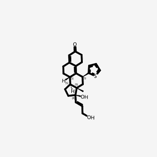 C[C@]12C[C@H](c3cccs3)C3=C4CCC(=O)C=C4CC[C@H]3[C@@H]1CC[C@@]2(O)C=CCO